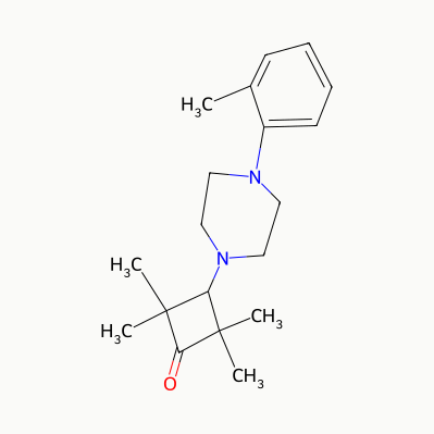 Cc1ccccc1N1CCN(C2C(C)(C)C(=O)C2(C)C)CC1